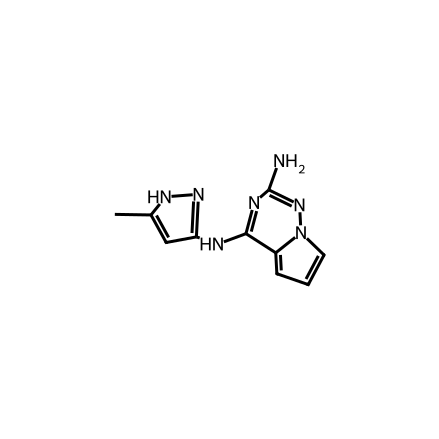 Cc1cc(Nc2nc(N)nn3cccc23)n[nH]1